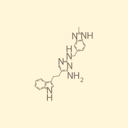 Cc1nc2cc(CNc3ncc(CCc4c[nH]c5ccccc45)c(N)n3)ccc2[nH]1